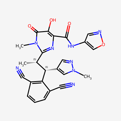 C[C@H](c1nc(C(=O)Nc2cnoc2)c(O)c(=O)n1C)[C@H](c1cnn(C)c1)c1c(C#N)cccc1C#N